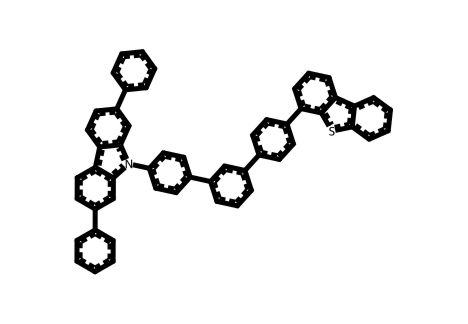 c1ccc(-c2ccc3c4ccc(-c5ccccc5)cc4n(-c4ccc(-c5cccc(-c6ccc(-c7cccc8c7sc7ccccc78)cc6)c5)cc4)c3c2)cc1